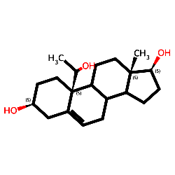 CC(O)[C@]12CC[C@H](O)CC1=CCC1C2CC[C@@]2(C)C1CC[C@@H]2O